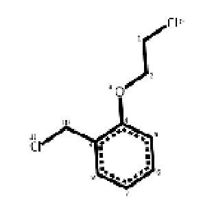 ClCCOc1ccccc1CCl